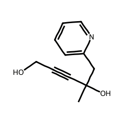 CC(O)(C#CCO)Cc1ccccn1